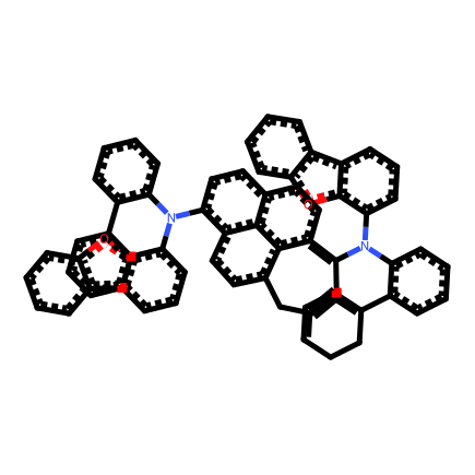 C1#CC(N(c2ccccc2C2=CC=CCC2)c2cccc3c2oc2ccccc23)=c2ccc3ccc(N(c4ccccc4-c4ccccc4)c4cccc5c4oc4ccccc45)c4ccc(c2c34)C1